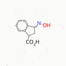 O=C(O)C1CC(=NO)c2ccccc21